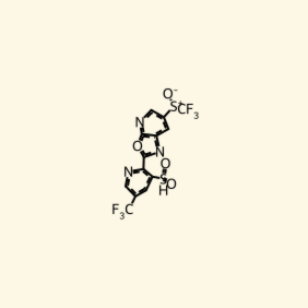 O=[SH](=O)c1cc(C(F)(F)F)cnc1-c1nc2cc([S+]([O-])C(F)(F)F)cnc2o1